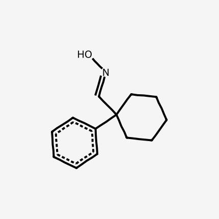 ON=CC1(c2ccccc2)CCCCC1